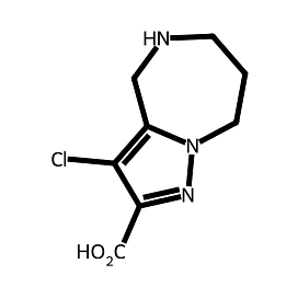 O=C(O)c1nn2c(c1Cl)CNCCC2